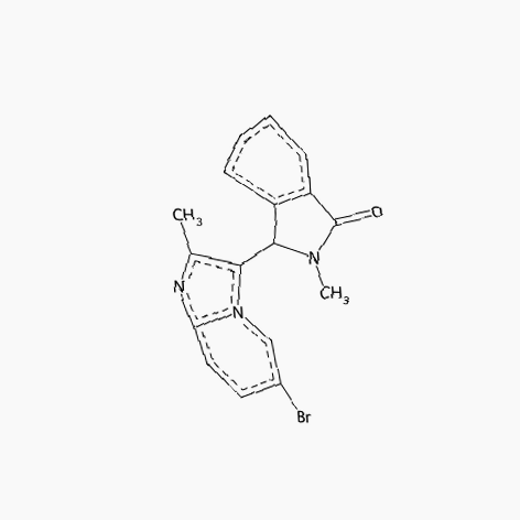 Cc1nc2ccc(Br)cn2c1C1c2ccccc2C(=O)N1C